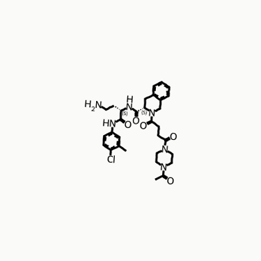 CC(=O)N1CCN(C(=O)CCC(=O)N2Cc3ccccc3C[C@H]2C(=O)N[C@@H](CCN)C(=O)Nc2ccc(Cl)c(C)c2)CC1